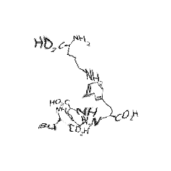 CC[C@H](C)[C@H](N)C(=O)O.NCCC[C@H](N)C(=O)O.N[C@@H](Cc1ccccc1)C(=O)O.O=C(O)[C@@H]1CCCN1